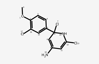 COc1ccc(C2(Cl)C=C(N)C=C(Cl)N2)cc1Cl